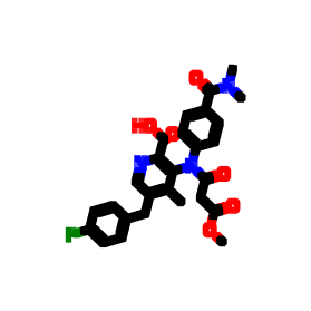 COC(=O)CC(=O)N(c1ccc(C(=O)N(C)C)cc1)c1c(C(=O)O)ncc(Cc2ccc(F)cc2)c1C